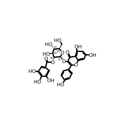 O=C(O[C@H]1[C@H](Oc2c(-c3ccc(O)cc3)oc3cc(O)cc(O)c3c2=O)O[C@H](CO)[C@@H](O)[C@@H]1O)c1cc(O)c(O)c(O)c1